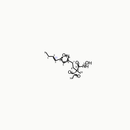 CC/C=C/c1cc(CCC(C)(C(=O)NO)S(C)(=O)=O)no1